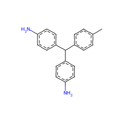 Cc1ccc(C(c2ccc(N)cc2)c2ccc(N)cc2)cc1